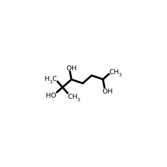 CC(O)CCC(O)C(C)(C)O